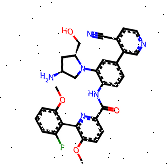 COc1ccc(C(=O)Nc2ccc(-c3cnccc3C#N)cc2N2C[C@@H](N)C[C@H]2CO)nc1-c1c(F)cccc1OC